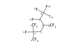 FC(C(CC(F)(C(F)(F)F)C(F)(F)F)C(F)(F)F)C(F)(F)I